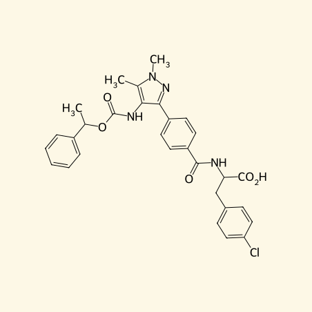 Cc1c(NC(=O)OC(C)c2ccccc2)c(-c2ccc(C(=O)NC(Cc3ccc(Cl)cc3)C(=O)O)cc2)nn1C